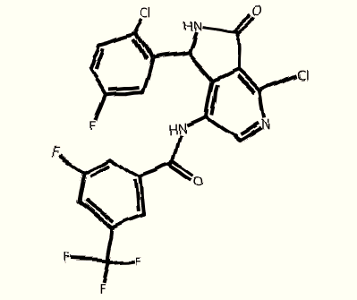 O=C(Nc1cnc(Cl)c2c1C(c1cc(F)ccc1Cl)NC2=O)c1cc(F)cc(C(F)(F)F)c1